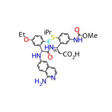 CCOc1ccc(F)c(C(Nc2ccc3c(N)nccc3c2)C(=O)N[C@H](CC(=O)O)c2cc(NC(=O)OC)ccc2SC(C)C)c1